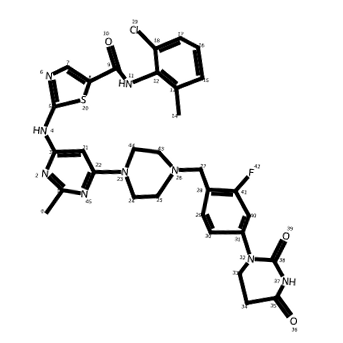 Cc1nc(Nc2ncc(C(=O)Nc3c(C)cccc3Cl)s2)cc(N2CCN(Cc3ccc(N4CCC(=O)NC4=O)cc3F)CC2)n1